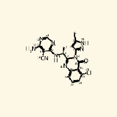 Cc1cc(-n2c([C@H](C)Nc3ncnc(N)c3C#N)nc3cccc(Cl)c3c2=O)n[nH]1